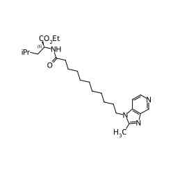 CCOC(=O)[C@H](CC(C)C)NC(=O)CCCCCCCCCCn1c(C)nc2cnccc21